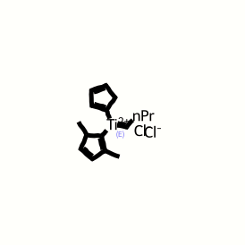 CCC/[CH]=[Ti+2](\[C]1=CC=CC1)[C]1=C(C)C=CC1C.[Cl-].[Cl-]